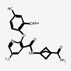 COc1cc(C#N)ccc1Oc1ncc(C(F)(F)F)cc1C(=O)NC12CC(C(N)=O)(C1)C2